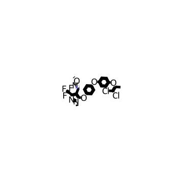 CO/N=C/c1c(C(F)(F)F)nn(C)c1Oc1ccc(Oc2ccc(OC(C)=C(Cl)Cl)cc2)cc1